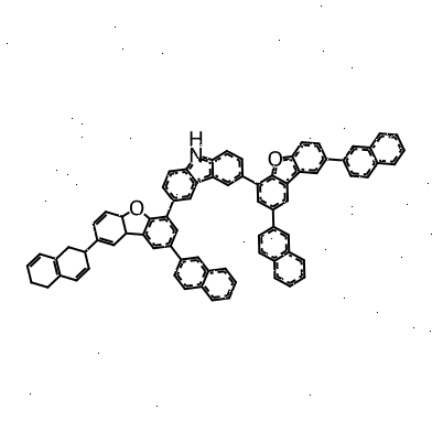 C1=CC2=C(C=CC(C3=CC4c5cc(-c6ccc7ccccc7c6)cc(-c6ccc7[nH]c8ccc(-c9cc(-c%10ccc%11ccccc%11c%10)cc%10c9oc9ccc(-c%11ccc%12ccccc%12c%11)cc9%10)cc8c7c6)c5OC4C=C3)C2)CC1